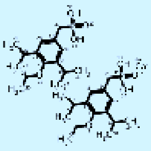 CCOc1c(C(C)C)cc(CP(=O)(O)O)cc1C(C)C.CCOc1c(C(C)C)cc(CP(=O)(O)O)cc1C(C)C.[Ca]